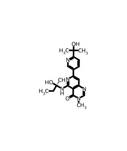 CC[C@@](C)(O)Nc1nc(-c2ccc(C(C)(C)O)nc2)cc2ncn(C)c(=O)c12